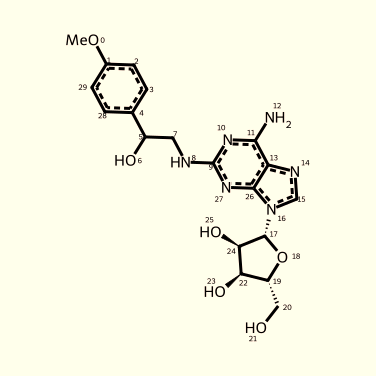 COc1ccc(C(O)CNc2nc(N)c3ncn([C@@H]4O[C@H](CO)[C@@H](O)[C@H]4O)c3n2)cc1